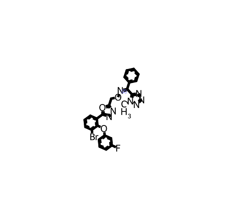 Cn1nnnc1/C(=N\OCc1nnc(-c2cccc(Br)c2Oc2cccc(F)c2)o1)c1ccccc1